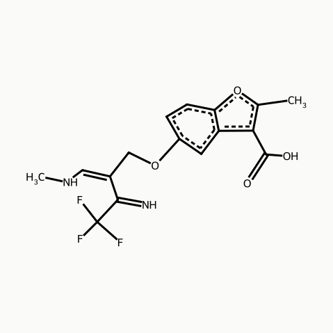 CN/C=C(/COc1ccc2oc(C)c(C(=O)O)c2c1)C(=N)C(F)(F)F